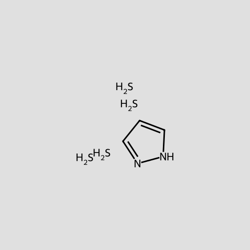 S.S.S.S.c1cn[nH]c1